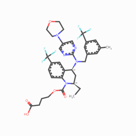 CC[C@@H]1C[C@H](N(Cc2cc(C)cc(C(F)(F)F)c2)c2ncc(N3CCOCC3)cn2)c2cc(C(F)(F)F)ccc2N1C(=O)OCCCC(=O)O